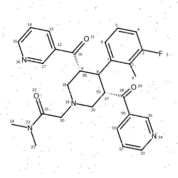 Cc1c(F)cccc1C1[C@@H](C(=O)c2cccnc2)CN(CC(=O)N(C)C)C[C@H]1C(=O)c1cccnc1